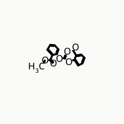 COC(=O)c1ccccc1OC(=O)Oc1ccccc1C=O